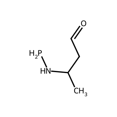 CC(CC=O)NP